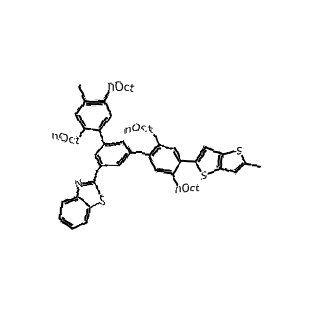 CCCCCCCCc1cc(-c2cc(-c3nc4ccccc4s3)cc(-c3cc(CCCCCCCC)c(-c4cc5sc(C)cc5s4)cc3CCCCCCCC)c2)c(CCCCCCCC)cc1C